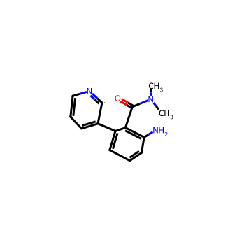 CN(C)C(=O)c1c(N)cccc1-c1[c]nccc1